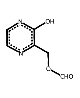 O=COCc1nccnc1O